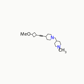 COC1CC(C#CC2CCN(CC3CCN(C)CC3)CC2)C1